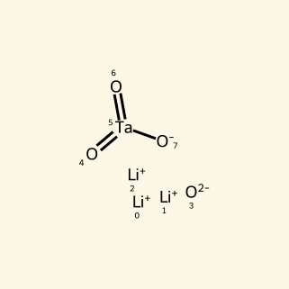 [Li+].[Li+].[Li+].[O-2].[O]=[Ta](=[O])[O-]